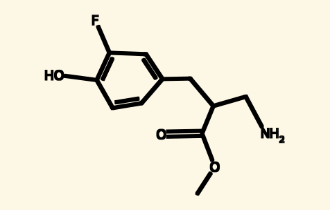 COC(=O)C(CN)Cc1ccc(O)c(F)c1